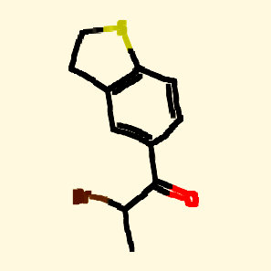 CC(Br)C(=O)c1ccc2c(c1)CCS2